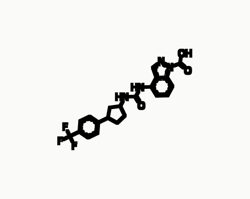 O=C(Nc1cccc2c1cnn2C(=O)O)NC1CCC(c2ccc(C(F)(F)F)cc2)C1